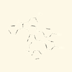 CC(C)(C)c1ccc2c(c1)-c1ccc(cc1)C(C)(C)c1cc3c4c(c1)-n1c5c(cc(C(C)(C)C)cc5c5oc6ccccc6c51)B4c1ccc(C(C)(C)C)cc1N23